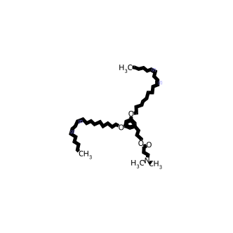 CCCCC/C=C\C/C=C\CCCCCCCCOc1cc(CCCOC(=O)CCN(C)C)cc(OCCCCCCCC/C=C\C/C=C\CCCCC)c1